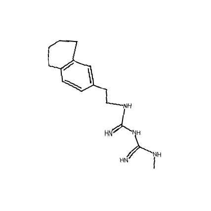 CNC(=N)NC(=N)NCCc1ccc2c(c1)CCCC2